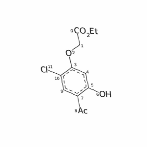 CCOC(=O)COc1cc(O)c(C(C)=O)cc1Cl